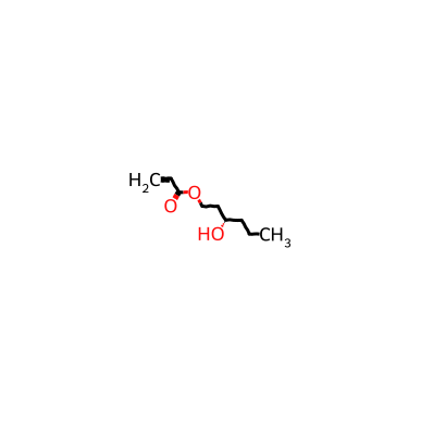 C=CC(=O)OCC[C@@H](O)CCC